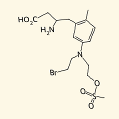 Cc1ccc(N(CCBr)CCOS(C)(=O)=O)cc1CC(N)CC(=O)O